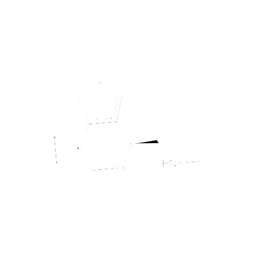 CNC[C@H]1OCC2(CC2)c2sccc21